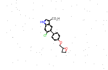 O=C(O)c1c[nH]c2cc(Cl)c(-c3ccc(OCC4CCO4)cc3)cc12